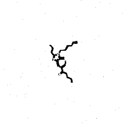 C=CC/C=C/Cn1c(/C=C/C)n/c(=C/C(=C\C)C(=O)CCCC)c1=C